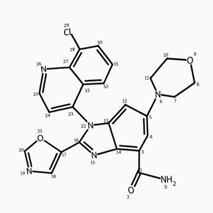 NC(=O)c1cc(N2CCOCC2)cc2c1nc(-c1cnco1)n2-c1ccnc2c(Cl)cccc12